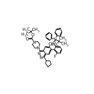 CC(C)(C)OC(=O)N1CCN(c2nnc(C3CCCC3)c3cc(-c4c(F)cccc4O[Si](c4ccccc4)(c4ccccc4)C(C)(C)C)c(Cl)cc23)CC1